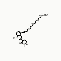 CN(Cc1c(C#CCCOCCNCCOCCNC=O)cccc1C=O)C1CCC(=O)NC1=O